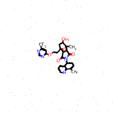 CC12OC(CCOc3cc(C(F)(F)F)ncn3)(CC1O)C1C(=O)N(c3ccc(C#N)c4ncccc34)C(=O)C12